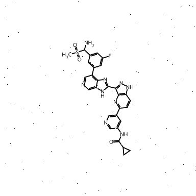 CS(=O)(=O)C(N)c1cc(F)cc(-c2cncc3[nH]c(-c4n[nH]c5ccc(-c6cncc(NC(=O)C7CC7)c6)nc45)nc23)c1